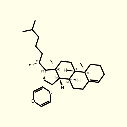 C1=COC=CO1.CC(C)CCC[C@@H](C)[C@H]1CC[C@H]2[C@@H]3CCC4=CCCC[C@]4(C)[C@H]3CC[C@]12C